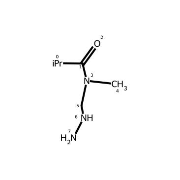 CC(C)C(=O)N(C)CNN